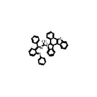 C\C(=N/C(=C1/C=CC=C/C1=N\c1ccccc1)c1ccccc1)n1c2ccccc2c2c3c4ccccc4sc3c3ccccc3c21